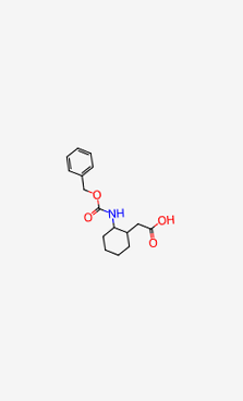 O=C(O)CC1CCCCC1NC(=O)OCc1ccccc1